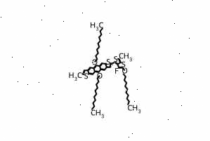 CCCCCCCCCCCCOc1sc2c(C)sc(-c3cc4cc5c(OCCCCCCCCCCCC)c6cc7sc(C)cc7cc6c(OCCCCCCCCCCCC)c5cc4s3)c2c1F